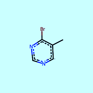 Cc1[c]ncnc1Br